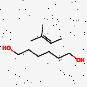 CC=C(C)C.OCCCCCCO